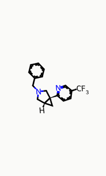 FC(F)(F)c1ccc([C@@]23C[C@@H]2CN(Cc2ccccc2)C3)nc1